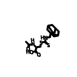 CC(=O)NC(CSC(=S)NCC12CC3CC(CC(C3)C1)C2)C(=O)O